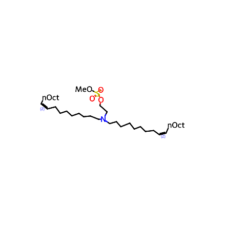 CCCCCCCC/C=C\CCCCCCCCN(CCCCCCCC/C=C\CCCCCCCC)CCOS(=O)(=O)OC